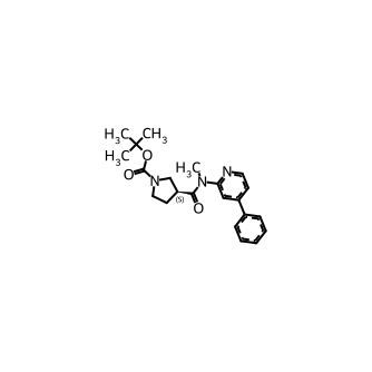 CN(C(=O)[C@H]1CCN(C(=O)OC(C)(C)C)C1)c1cc(-c2ccccc2)ccn1